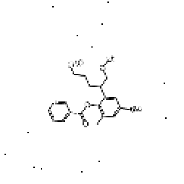 CCOCC(CCCC=O)c1cc(C(C)(C)C)cc(C)c1OC(=O)c1ccccc1